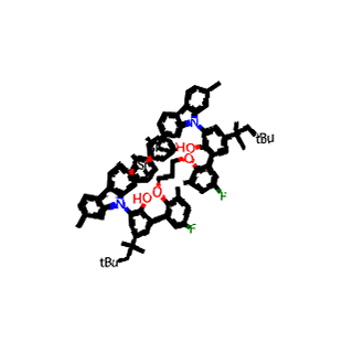 Cc1ccc2c3ccc([Si](C)(C)c4ccccc4)cc3n(-c3cc(C(C)(C)CC(C)(C)C)cc(-c4cc(F)cc(C)c4OCCCOc4c(C)cc(F)cc4-c4cc(C(C)(C)CC(C)(C)C)cc(-n5c6cc(C)ccc6c6ccc([Si](C)(C)c7ccccc7)cc65)c4O)c3O)c2c1